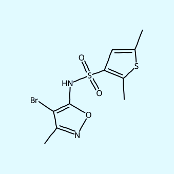 Cc1cc(S(=O)(=O)Nc2onc(C)c2Br)c(C)s1